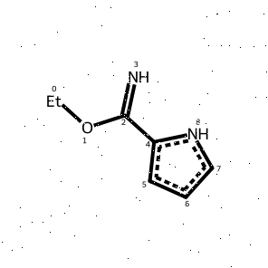 CCOC(=N)c1ccc[nH]1